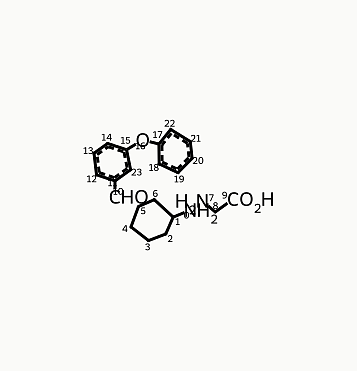 NC1CCCCC1.NCC(=O)O.O=Cc1cccc(Oc2ccccc2)c1